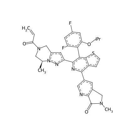 C=CC(=O)N1Cc2cc(-c3nc(-c4cnc5c(c4)CN(C)C5=O)c4ccsc4c3-c3c(F)cc(F)cc3OC(C)C)nn2[C@@H](C)C1